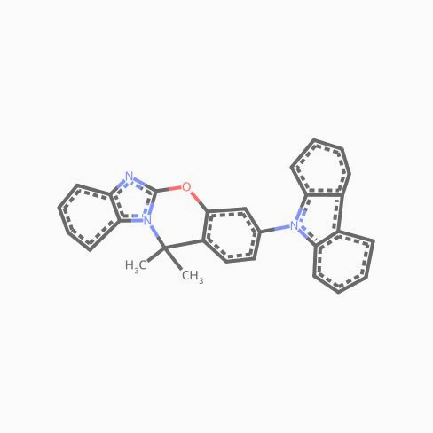 CC1(C)c2ccc(-n3c4ccccc4c4ccccc43)cc2Oc2nc3ccccc3n21